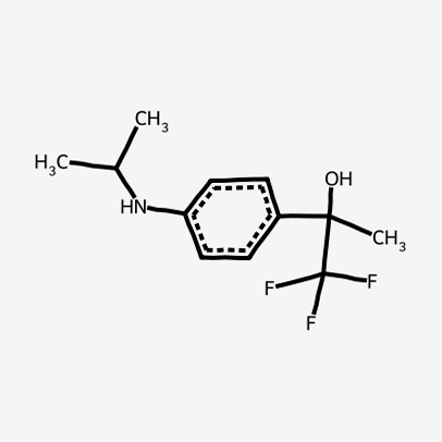 CC(C)Nc1ccc(C(C)(O)C(F)(F)F)cc1